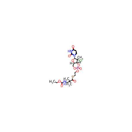 CCOC(=O)NCC(C)(C)C(=O)SCCOP1(=O)OC[C@H]2O[C@@H](n3ccc(=O)[nH]c3=O)[C@](C)(Cl)[C@@H]2O1